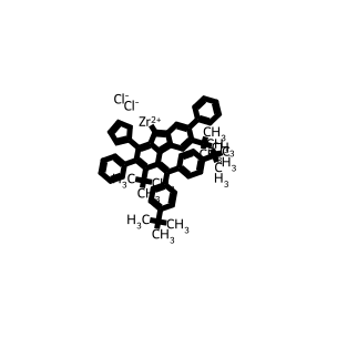 CC(C)(C)c1ccc(C(c2ccc(C(C)(C)C)cc2)=c2c(C(C)(C)C)c(-c3ccccc3)c(C3=CC=CC3)c3c2=c2cc(C(C)(C)C)c(-c4ccccc4)cc2=[C]3[Zr+2])cc1.[Cl-].[Cl-]